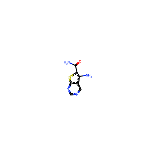 NC(=O)c1sc2ncncc2c1N